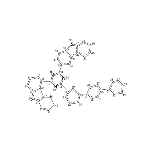 C1=Cc2sc3cccc(-c4nc(-c5cccc(-c6ccc(-c7ccccc7)cc6)c5)nc(-c5ccc6sc7ccccc7c6c5)n4)c3c2CC1